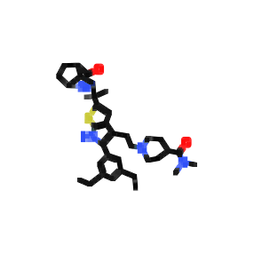 CCc1cc(CC)cc(-c2[nH]c3sc(C(C)(C)CC4C5CCC4C(=O)N5)cc3c2CCN2CCC(C(=O)N(C)C)CC2)c1